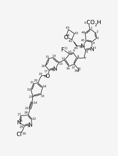 O=C(O)c1ccc2nc(Cc3cc(F)c(-c4cccc(OCc5ccc(C#Cc6cnc(Cl)nc6)cc5)n4)cc3F)n(C[C@@H]3CCO3)c2c1